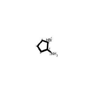 Br.NC1CCCC1